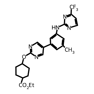 CCOC(=O)C1CCC(Oc2ncc(-c3cc(C)cc(Nc4nccc(C(F)(F)F)n4)c3)cn2)CC1